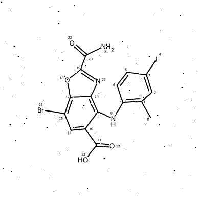 Cc1cc(I)ccc1Nc1c(C(=O)O)cc(Br)c2oc(C(N)=O)nc12